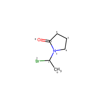 CC(Br)N1CCCC1=O